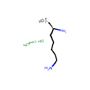 Cl.Cl.Cl.NCCCC[C@H](N)C(=O)O